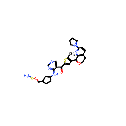 Cc1sc(C(=O)c2cncnc2NC2CCC(COSN)C2)cc1C1OCCc2ccc(N3CCCC3)nc21